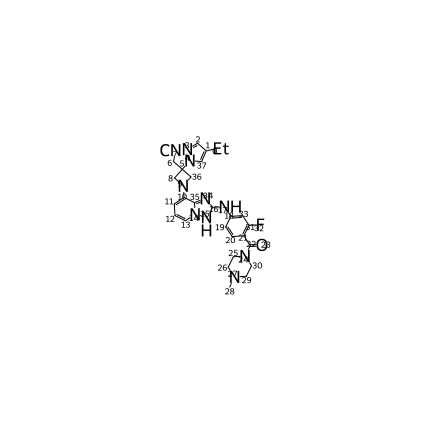 CCc1cnn(C2(CC#N)CN(C3=CC=CN4NC(Nc5ccc(C(=O)N6CCN(C)CC6)c(F)c5)N=C34)C2)c1